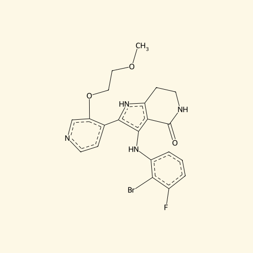 COCCOc1cnccc1-c1[nH]c2c(c1Nc1cccc(F)c1Br)C(=O)NCC2